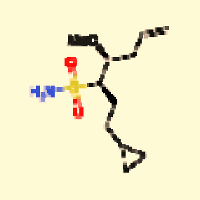 C=CC[C@H](OC)[C@@H](CCC1CC1)S(N)(=O)=O